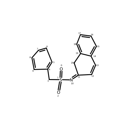 O=S(=O)(Cc1ccccc1)N=C1C=Cc2ccccc2C1